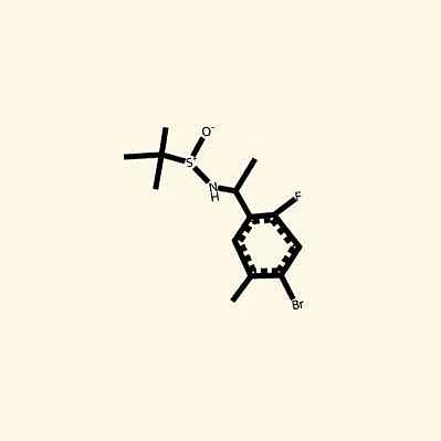 Cc1cc(C(C)N[S+]([O-])C(C)(C)C)c(F)cc1Br